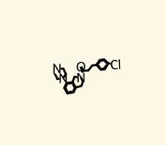 CN1CCN(c2cccc3c2CN(C(=O)CCc2ccc(Cl)cc2)CC3)CC1